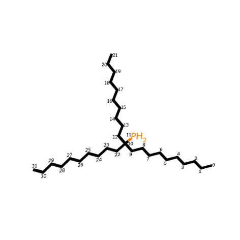 CCCCCCCCCCC(P)(CCCCCCCCCC)CCCCCCCCCC